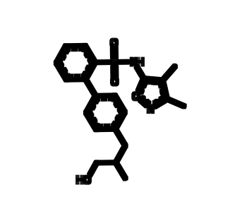 Cc1noc(NS(=O)(=O)c2ccccc2-c2ccc(CC(C)CO)cc2)c1C